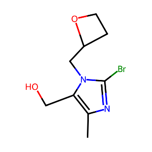 Cc1nc(Br)n(CC2CCO2)c1CO